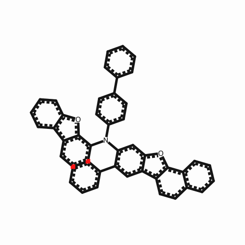 c1ccc(-c2ccc(N(c3cc4oc5c6ccccc6ccc5c4cc3-c3ccccc3)c3cccc4c3oc3ccccc34)cc2)cc1